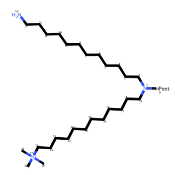 CCCCCN(CCCCCCCCCCCCN)CCCCCCCCCCCC[N+](C)(C)C